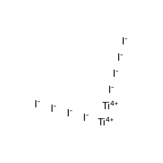 [I-].[I-].[I-].[I-].[I-].[I-].[I-].[I-].[Ti+4].[Ti+4]